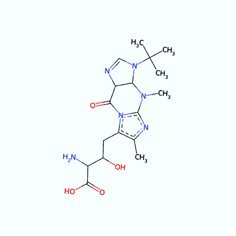 Cc1nc2n(c1CC(O)C(N)C(=O)O)C(=O)C1N=CN(C(C)(C)C)C1N2C